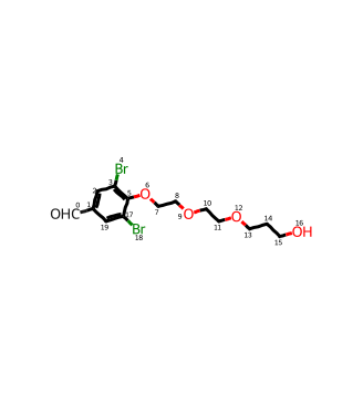 O=Cc1cc(Br)c(OCCOCCOCCCO)c(Br)c1